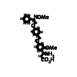 CO/N=C(\COc1ccc(COc2ccc(C(N)CC(=O)O)c(OC)c2)cc1)c1ccccc1